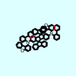 c1ccc(-c2ccccc2N(c2ccc3c(c2)C2(c4ccccc4-c4ccccc42)C2c4ccc(N(c5ccccc5-c5ccccc5)c5cccc6oc7ccccc7c56)cc4C4(c5ccccc5-c5ccccc54)C32)c2cccc3oc4ccccc4c23)cc1